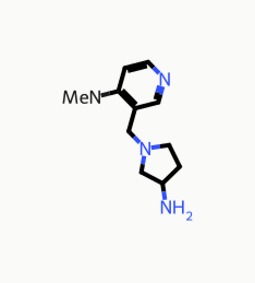 CNc1ccncc1CN1CCC(N)C1